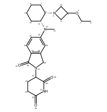 CCOC1CN([C@H]2CCCC[C@H]2N(C)c2ccc3c(c2)CN(C2CCC(=O)NC2=O)C3=O)C1